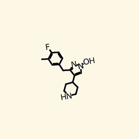 Cc1cc(Cc2nn(O)cc2C2CCNCC2)ccc1F